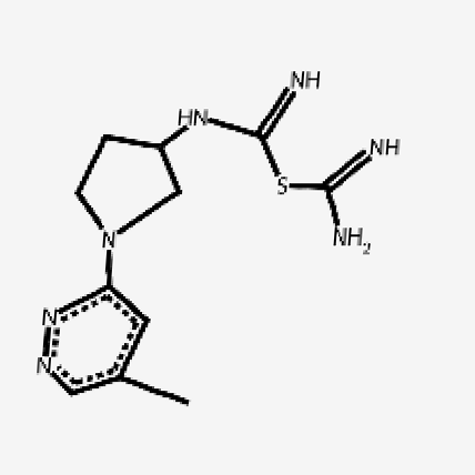 Cc1cnnc(N2CCC(NC(=N)SC(=N)N)C2)c1